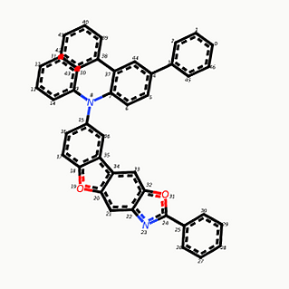 c1ccc(-c2ccc(N(c3ccccc3)c3ccc4oc5cc6nc(-c7ccccc7)oc6cc5c4c3)c(-c3ccccc3)c2)cc1